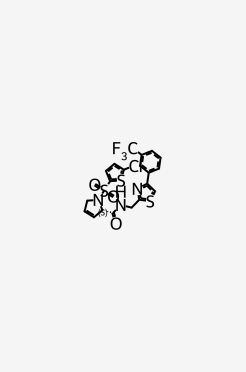 O=C(NCc1nc(-c2cccc(C(F)(F)F)c2)cs1)[C@@H]1C=CCN1S(=O)(=O)c1ccc(Cl)s1